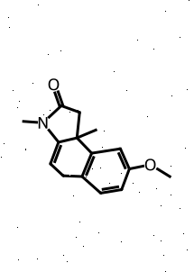 COc1ccc2c(c1)C1(C)CC(=O)N(C)C1=CC2